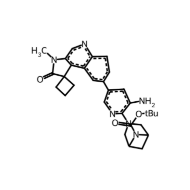 CN1C(=O)C2(CCC2)c2c1cnc1ccc(-c3cnc(N4CC5CC(C4)N5C(=O)OC(C)(C)C)c(N)c3)cc21